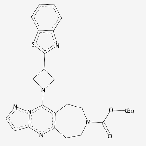 CC(C)(C)OC(=O)N1CCc2nc3ccnn3c(N3CC(c4nc5ccccc5s4)C3)c2CC1